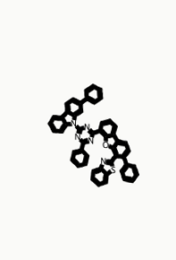 c1ccc(-c2ccc3c4ccccc4n(-c4nc(-c5ccccc5)nc(-c5cccc6c5oc5c(-c7nc8ccccc8s7)c(-c7ccccc7)ccc56)n4)c3c2)cc1